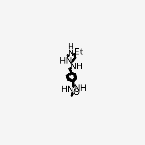 CCC1CC(NCc2ccc(C3NOC(C)N3)cc2)NCN1